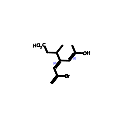 C=C(Br)/C=C(\C=C(/C)O)C(C)CC(=O)O